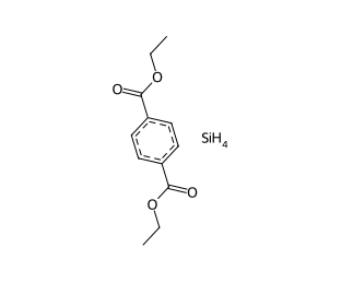 CCOC(=O)c1ccc(C(=O)OCC)cc1.[SiH4]